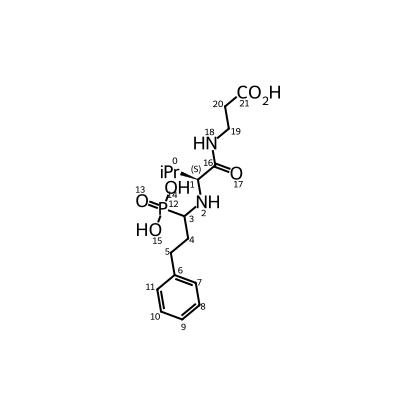 CC(C)[C@H](NC(CCc1ccccc1)P(=O)(O)O)C(=O)NCCC(=O)O